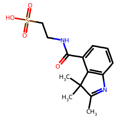 CC1=Nc2cccc(C(=O)NCCS(=O)(=O)O)c2C1(C)C